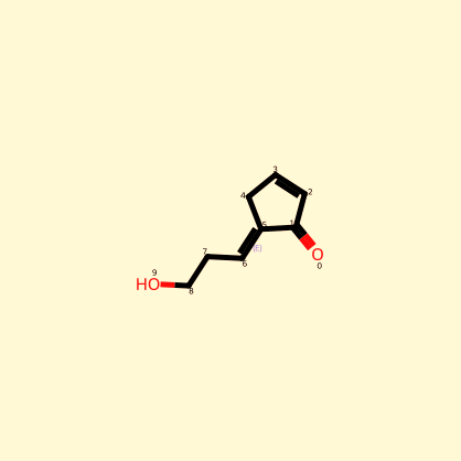 O=C1C=CC/C1=C\CCO